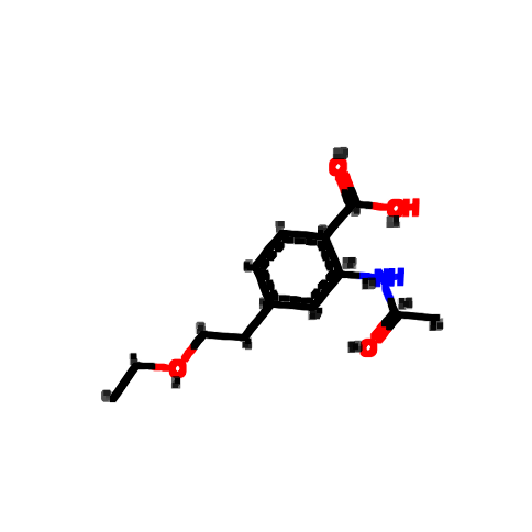 CCOCCc1ccc(C(=O)O)c(NC(C)=O)c1